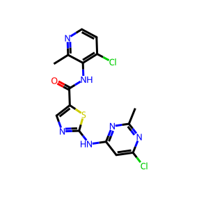 Cc1nc(Cl)cc(Nc2ncc(C(=O)Nc3c(Cl)ccnc3C)s2)n1